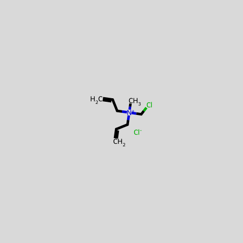 C=CC[N+](C)(CCl)CC=C.[Cl-]